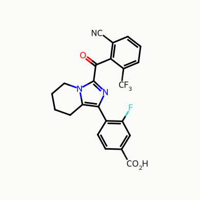 N#Cc1cccc(C(F)(F)F)c1C(=O)c1nc(-c2ccc(C(=O)O)cc2F)c2n1CCCC2